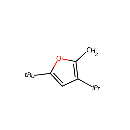 Cc1oc(C(C)(C)C)cc1C(C)C